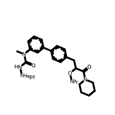 CCCCCCCNC(=O)N(C)c1cccc(-c2ccc(CC(OCCC)C(=O)N3CCCCC3)cc2)c1